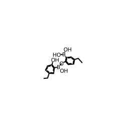 CCc1ccc(O)c(B(O)Oc2ccc(CC)cc2B(O)O)c1